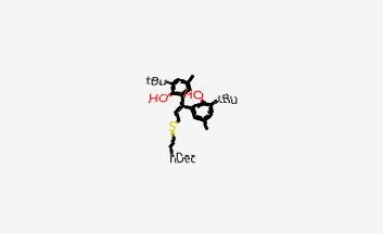 CCCCCCCCCCCCSCCC(c1cc(C)cc(C(C)(C)C)c1O)c1cc(C)cc(C(C)(C)C)c1O